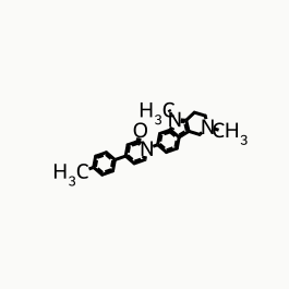 Cc1ccc(-c2ccn(-c3ccc4c5c(n(C)c4c3)CCN(C)C5)c(=O)c2)cc1